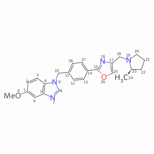 COc1ccc2c(c1)ncn2Cc1ccc(-c2nc(CN3CCC[C@H]3C)co2)cc1